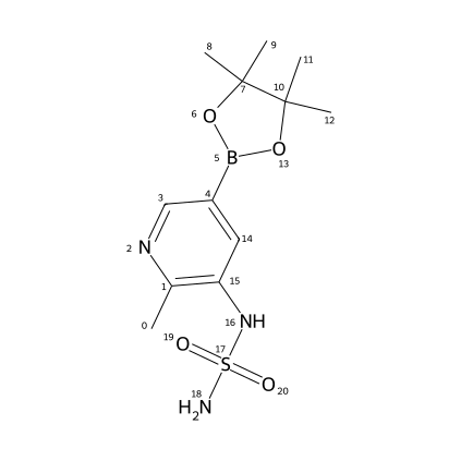 Cc1ncc(B2OC(C)(C)C(C)(C)O2)cc1NS(N)(=O)=O